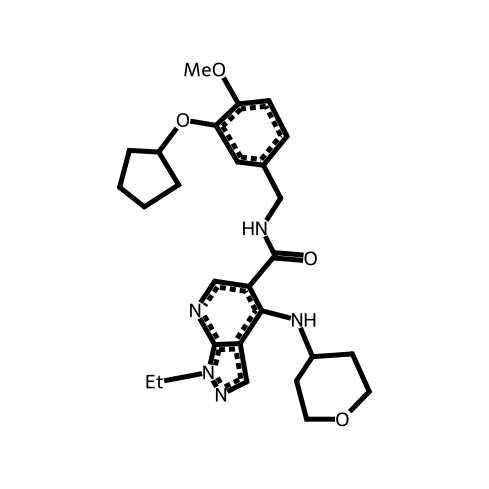 CCn1ncc2c(NC3CCOCC3)c(C(=O)NCc3ccc(OC)c(OC4CCCC4)c3)cnc21